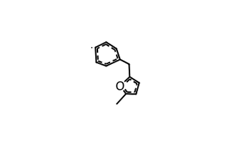 Cc1ccc(Cc2cc[c]cc2)o1